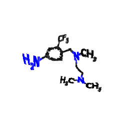 CN(C)CCN(C)Cc1ccc(N)cc1C(F)(F)F